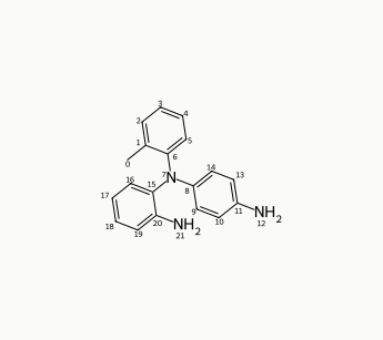 Cc1ccccc1N(c1ccc(N)cc1)c1ccccc1N